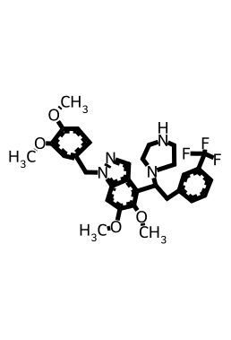 COc1ccc(Cn2ncc3c(C(Cc4cccc(C(F)(F)F)c4)N4CCNCC4)c(OC)c(OC)cc32)cc1OC